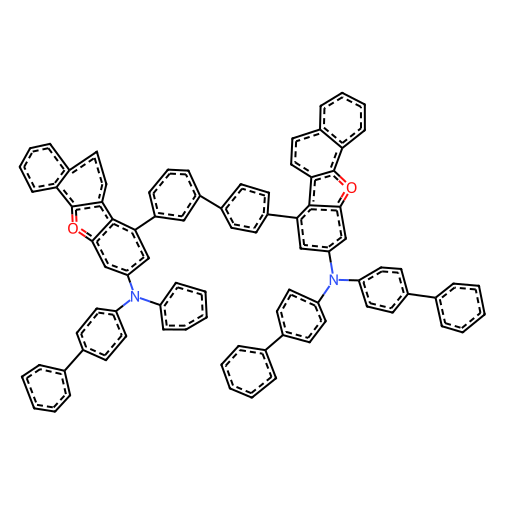 c1ccc(-c2ccc(N(c3ccc(-c4ccccc4)cc3)c3cc(-c4ccc(-c5cccc(-c6cc(N(c7ccccc7)c7ccc(-c8ccccc8)cc7)cc7oc8c9ccccc9ccc8c67)c5)cc4)c4c(c3)oc3c5ccccc5ccc34)cc2)cc1